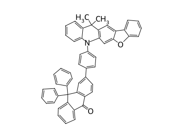 CC1(C)c2ccccc2N(c2ccc(-c3ccc4c(c3)C(c3ccccc3)(c3ccccc3)c3ccccc3C4=O)cc2)c2cc3oc4ccccc4c3cc21